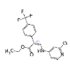 CCOC(=O)/C(=C\Nc1ccnc(Cl)c1)c1ccc(C(F)(F)F)cc1